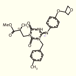 COC(=O)[C@@H](C)Cn1c(=O)[nH]/c(=N\c2ccc(OC3COC3)cc2)n(Cc2ccc(C)cc2)c1=O